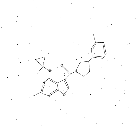 Cc1cccc(C2CCN(C(=O)c3coc4nc(C)nc(NC5(C)CC5)c34)C2)c1